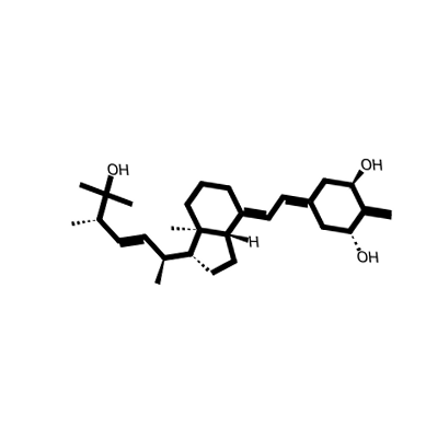 C=C1[C@H](O)CC(=C/C=C2\CCC[C@]3(C)[C@@H]([C@@H](C)/C=C/[C@H](C)C(C)(C)O)CC[C@@H]23)C[C@H]1O